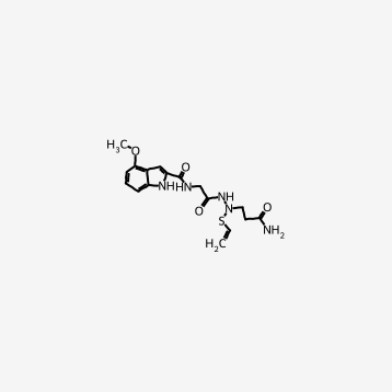 C=CSN(CCC(N)=O)NC(=O)CNC(=O)c1cc2c(OC)cccc2[nH]1